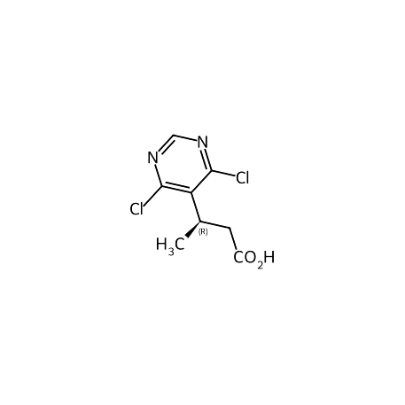 C[C@H](CC(=O)O)c1c(Cl)ncnc1Cl